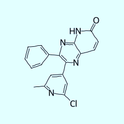 Cc1cc(-c2nc3ccc(=O)[nH]c3nc2-c2ccccc2)cc(Cl)n1